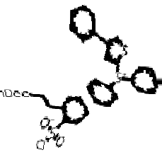 CCCCCCCCCCCCc1ccccc1S(=O)(=O)[O-].c1ccc(-c2csc([S+](c3ccccc3)c3ccccc3)c2)cc1